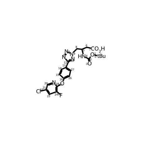 CC(C)(C)OC(=O)NC(CC(=O)O)Cn1nnc(-c2ccc(Oc3ncc(Cl)cc3F)cc2)n1